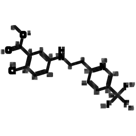 COC(=O)c1cc(NCCc2ccc(C(F)(F)F)cn2)ccc1Cl